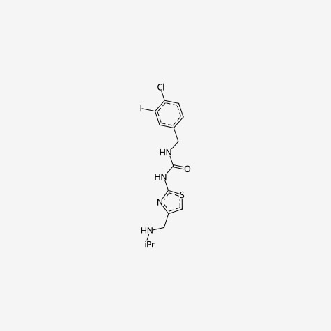 CC(C)NCc1csc(NC(=O)NCc2ccc(Cl)c(I)c2)n1